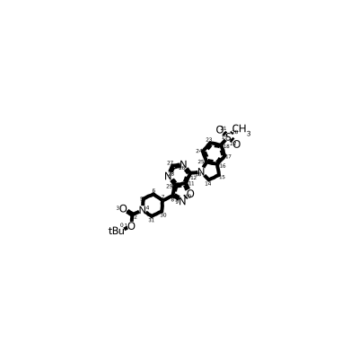 CC(C)(C)OC(=O)N1CCC(c2noc3c(N4CCc5cc(S(C)(=O)=O)ccc54)ncnc23)CC1